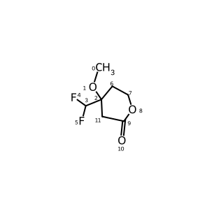 COC1(C(F)F)CCOC(=O)C1